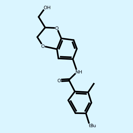 Cc1cc(C(C)(C)C)ccc1C(=O)Nc1ccc2c(c1)OCC(CO)O2